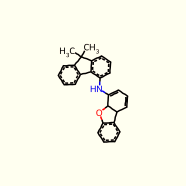 CC1(C)c2ccccc2-c2c(NC3=CC=CC4c5ccccc5OC34)cccc21